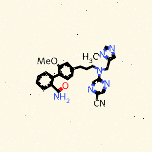 COc1cc(CCCN(Cc2cncn2C)c2cnc(C#N)cn2)ccc1-c1ccccc1C(N)=O